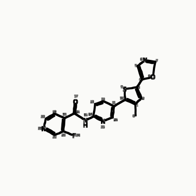 Cc1cc(-c2cnco2)sc1-c1ccc(NC(=O)c2ccncc2F)nc1